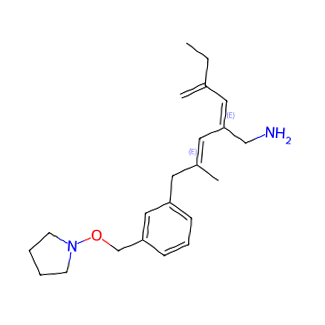 C=C(/C=C(\C=C(/C)Cc1cccc(CON2CCCC2)c1)CN)CC